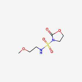 COCCNS(=O)(=O)N1CCOC1=O